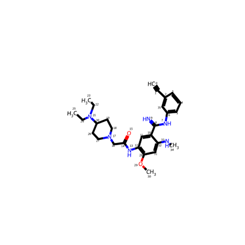 C#Cc1cccc(NC(=N)c2cc(NC(=O)CN3CCC(N(CC)CC)CC3)c(OC)cc2NC)c1